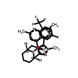 Cc1cc(C(=O)N2[C@@H]3CCC[C@H]2c2nn(C)c(-c4cc(C(F)(F)F)n(C)n4)c2C3)c2cc(F)ccc2n1